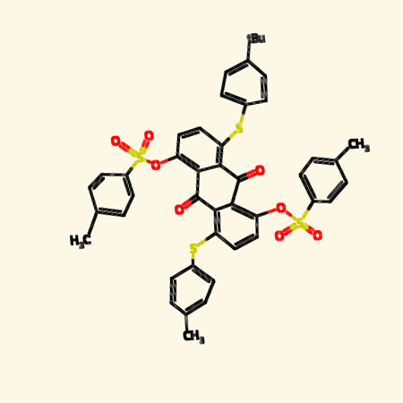 Cc1ccc(Sc2ccc(OS(=O)(=O)c3ccc(C)cc3)c3c2C(=O)c2c(OS(=O)(=O)c4ccc(C)cc4)ccc(Sc4ccc(C(C)(C)C)cc4)c2C3=O)cc1